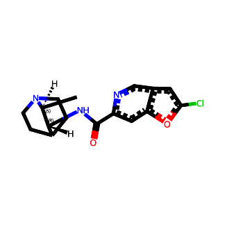 C[C@H]1[C@H](NC(=O)c2cc3oc(Cl)cc3cn2)C2CCN1CC2